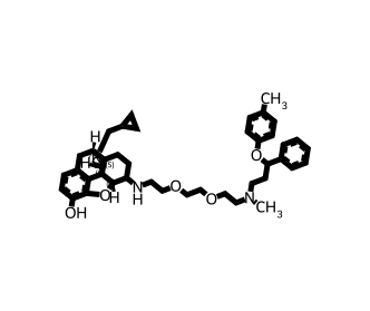 Cc1ccc(OC(CCN(C)CCOCCOCCNC2CC[C@@]3(O)[C@H]4Cc5ccc(O)c6c5[C@@]3(CCN4CC3CC3)[C@H]2O6)c2ccccc2)cc1